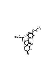 CCCCCCC(=O)CCCCC.O=C1CCC2(CC1)CCN(c1ccc(OCC(F)(F)F)nc1)C2=O